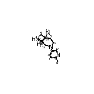 Cc1ccc(N2CC[C@H]3CN[C@H]3C2)cn1